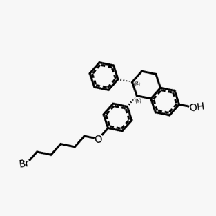 Oc1ccc2c(c1)CC[C@@H](c1ccccc1)[C@H]2c1ccc(OCCCCCBr)cc1